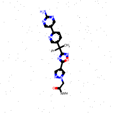 CNC(=O)Cn1cc(-c2nc(C(C)(c3ccc(-c4cnc(N)nc4)nc3)C(C)C)no2)cn1